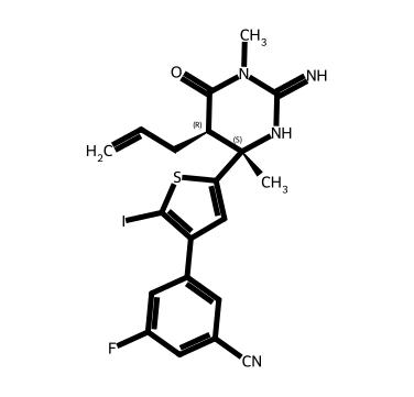 C=CC[C@H]1C(=O)N(C)C(=N)N[C@]1(C)c1cc(-c2cc(F)cc(C#N)c2)c(I)s1